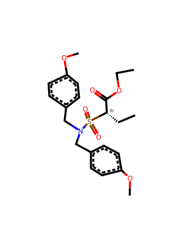 CCOC(=O)[C@H](CC)S(=O)(=O)N(Cc1ccc(OC)cc1)Cc1ccc(OC)cc1